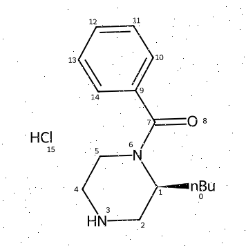 CCCC[C@H]1CNCCN1C(=O)c1ccccc1.Cl